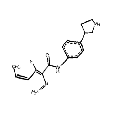 C=N/C(C(=O)Nc1ccc(C2CCNC2)cc1)=C(F)\C=C/C